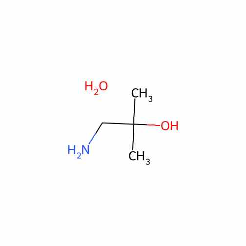 CC(C)(O)CN.O